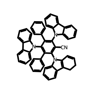 N#Cc1c(-n2c3c(c4ccccc42)CCC=C3)c(-c2ccccc2)c(-n2c3ccccc3c3ccccc32)c(-c2ccccc2)c1-n1c2ccccc2c2ccccc21